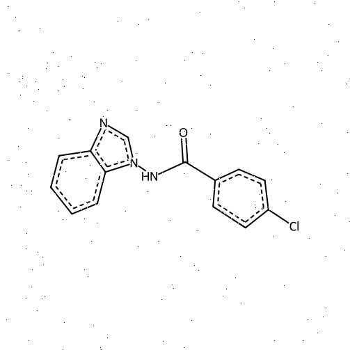 O=C(Nn1cnc2ccccc21)c1ccc(Cl)cc1